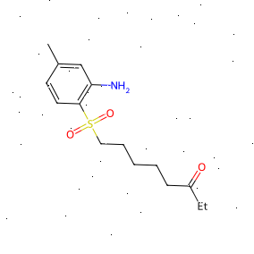 CCC(=O)CCCCCS(=O)(=O)c1ccc(C)cc1N